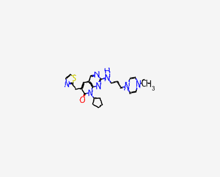 CN1CCN(CCCNc2ncc3cc(Cc4nccs4)c(=O)n(C4CCCC4)c3n2)CC1